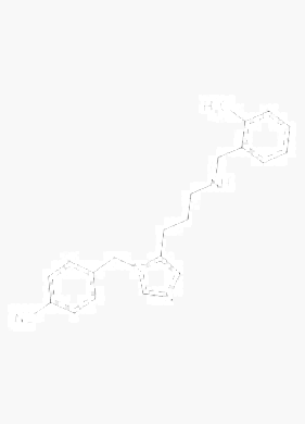 Cc1ccccc1CNCCCc1cncn1Cc1ccc(C#N)cc1